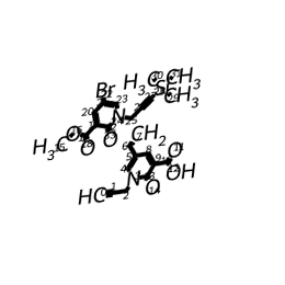 C#CCn1cc(C=C)cc(C(=O)O)c1=O.COC(=O)c1cc(Br)cn(CC#C[Si](C)(C)C)c1=O